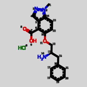 Cl.Cn1ncc2c(C(=O)O)c(OC[C@H](N)Cc3ccccc3)ccc21